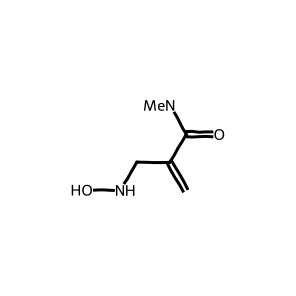 C=C(CNO)C(=O)NC